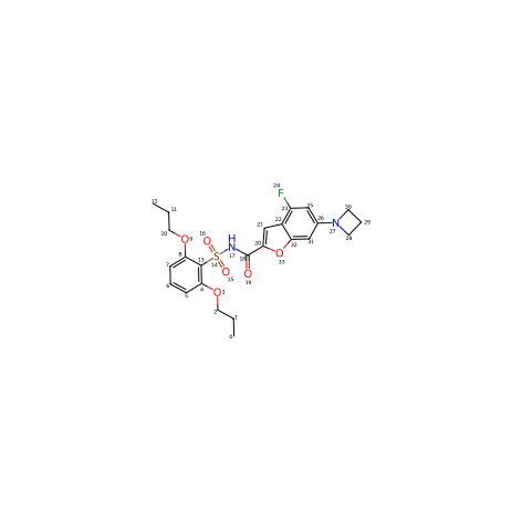 CCCOc1cccc(OCCC)c1S(=O)(=O)NC(=O)c1cc2c(F)cc(N3CCC3)cc2o1